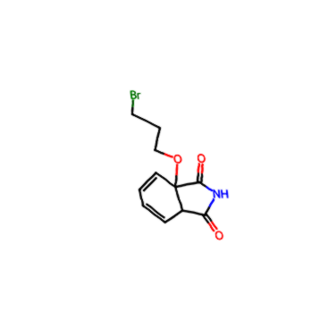 O=C1NC(=O)C2(OCCCBr)C=CC=CC12